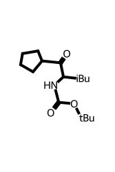 CCC(C)C(NC(=O)OC(C)(C)C)C(=O)C1CCCC1